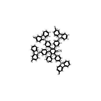 Cc1ccc2c(c1)c1ccccc1n2-c1ccc(-c2c(C#N)c(-c3ccc(-n4c5ccccc5c5cc(C)ccc54)cc3)c(-c3ccc(-n4c5ccccc5c5cc(C)ccc54)cc3)c(-c3ccc(-n4c5ccccc5c5cc(C)ccc54)cc3)c2-c2ccncc2)cc1